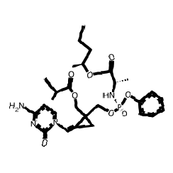 CCC[C@H](C)OC(=O)[C@H](C)N[P@](=O)(OCC1(COC(=O)C(C)C)C/C1=C/n1ccc(N)nc1=O)Oc1ccccc1